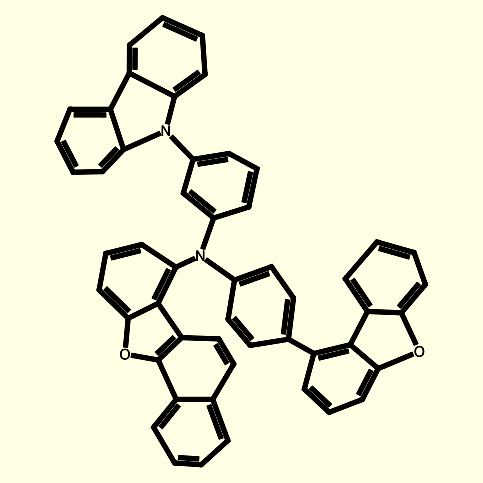 c1cc(N(c2ccc(-c3cccc4oc5ccccc5c34)cc2)c2cccc3oc4c5ccccc5ccc4c23)cc(-n2c3ccccc3c3ccccc32)c1